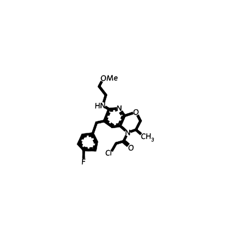 COCCNc1nc2c(cc1Cc1ccc(F)cc1)N(C(=O)CCl)C(C)CO2